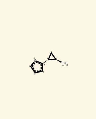 C[C@@H]1C[C@H]1c1cccs1